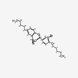 CCCCCOc1ccc(C(=O)Oc2ccc(CCCCC)cc2C#N)cc1Br